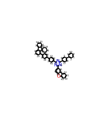 c1ccc(-c2ccc(-c3nc(-c4ccc(-c5ccc(-c6cccc7c6C6(CCCCC6)c6ccccc6-7)cc5)cc4)nc(-c4ccc5oc6ccccc6c5c4)n3)cc2)cc1